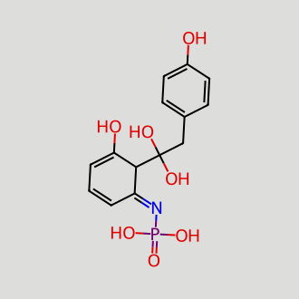 O=P(O)(O)N=C1C=CC=C(O)C1C(O)(O)Cc1ccc(O)cc1